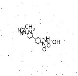 Cc1cnnn1-c1ccc(-c2ccc3c(c2)C[C@H]2[C@H](CO)OC(=O)N32)cn1